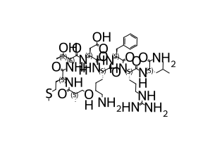 CSCC[C@H](NC(=O)[C@@H](C)CO)C(=O)N[C@H](C(=O)N[C@@H](CC(=O)O)C(=O)N[C@@H](CCCCN)C(=O)N[C@@H](Cc1ccccc1)C(=O)N[C@@H](CCCNC(=N)N)C(=O)N[C@@H](CC(C)C)C(N)=O)[C@@H](C)O